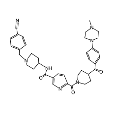 CN1CCN(c2ccc(C(=O)C3CCN(C(=O)c4ccc(C(=O)NC5CCN(Cc6ccc(C#N)cc6)CC5)cn4)CC3)cc2)CC1